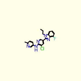 CCCn1c(-c2cnc(Nc3ccc(C)nc3)c(Cl)c2)nc2c(F)cccc21